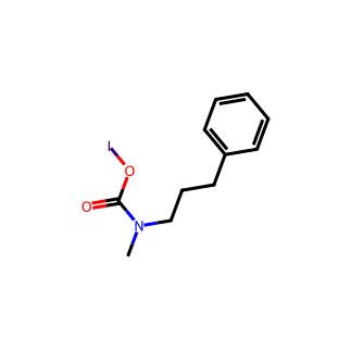 CN(CCCc1ccccc1)C(=O)OI